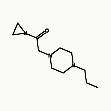 CCCN1CCN(CC(=O)N2CC2)CC1